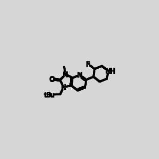 Cn1c(=O)n(CC(C)(C)C)c2ccc(C3CCNCC3F)nc21